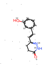 O=C1CCC(C=Cc2cccc(O)c2)=NN1